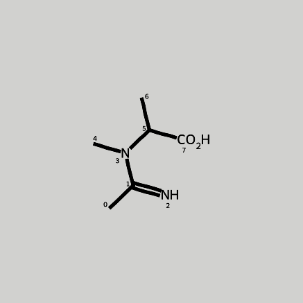 CC(=N)N(C)C(C)C(=O)O